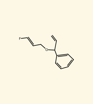 C=CC(OCC=CF)c1ccccc1